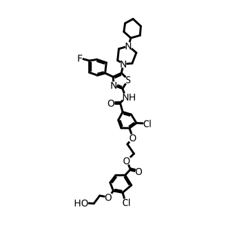 O=C(Nc1nc(-c2ccc(F)cc2)c(N2CCN(C3CCCCC3)CC2)s1)c1ccc(OCCOC(=O)c2ccc(OCCO)c(Cl)c2)c(Cl)c1